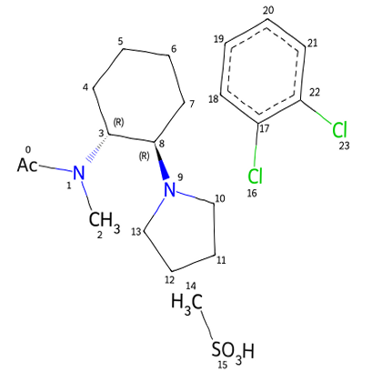 CC(=O)N(C)[C@@H]1CCCC[C@H]1N1CCCC1.CS(=O)(=O)O.Clc1ccccc1Cl